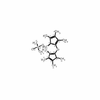 CC1=C(C)C(C)[C]([Zr][C]2=C(C)C(C)=C(C)C2C)=C1C.C[Si](C)(Cl)Cl